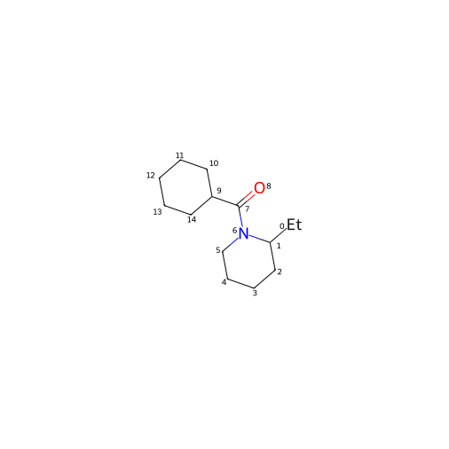 CCC1CCCCN1C(=O)C1CCCCC1